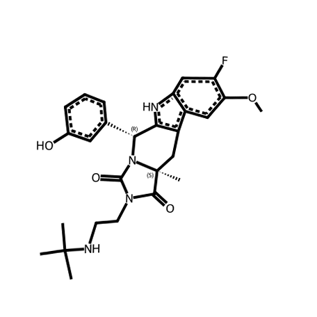 COc1cc2c3c([nH]c2cc1F)[C@@H](c1cccc(O)c1)N1C(=O)N(CCNC(C)(C)C)C(=O)[C@]1(C)C3